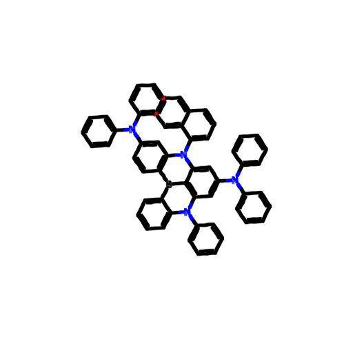 c1ccc(N(c2ccccc2)c2ccc3c(c2)N(c2cccc4ccccc24)c2cc(N(c4ccccc4)c4ccccc4)cc4c2B3c2ccccc2N4c2ccccc2)cc1